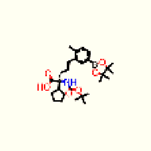 Cc1ccc(B2OC(C)(C)C(C)(C)O2)cc1C=CC[C@@](NC(=O)OC(C)(C)C)(C(=O)O)C1CCCC1